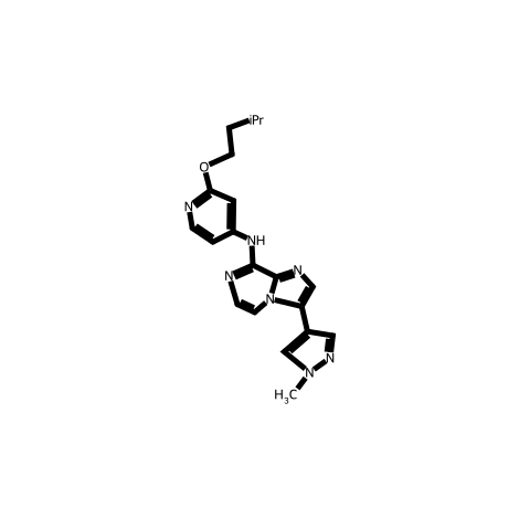 CC(C)CCOc1cc(Nc2nccn3c(-c4cnn(C)c4)cnc23)ccn1